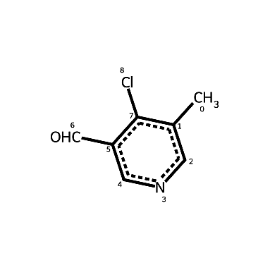 Cc1cncc(C=O)c1Cl